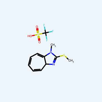 CSC1=NC2C=CC=CC=C2N1C.O=S(=O)(O)C(F)(F)F